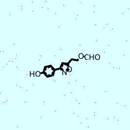 O=COCCc1cc(-c2ccc(O)cc2)no1